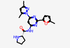 Cc1cc(C)n(-c2cc(NC(=O)[C@@H]3CCCN3)nc(-c3ccc(C)o3)n2)n1